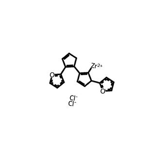 [Cl-].[Cl-].[Zr+2][C]1=C(C2=C(c3ccco3)C=CC2)C=CC1c1ccco1